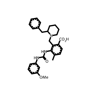 COc1cccc(NC(=O)Nc2c(C)ccc(C(=O)O)c2CN2CCCCC2Cc2ccccc2)c1